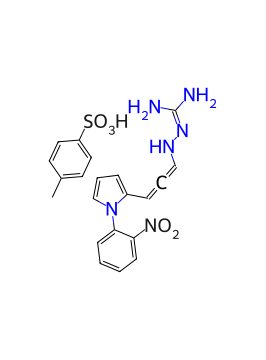 Cc1ccc(S(=O)(=O)O)cc1.NC(N)=NNC=C=Cc1cccn1-c1ccccc1[N+](=O)[O-]